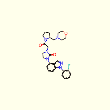 O=C1N(CC(=O)N2CCCC2CN2CCOCC2)CCN1c1cccc2c1cnn2-c1ccccc1F